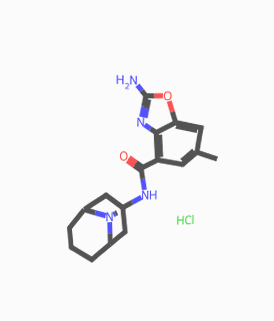 Cc1cc(C(=O)NC2CC3CCCC(C2)N3C)c2nc(N)oc2c1.Cl